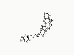 O=c1[nH]c2ccccc2nc1-c1cc2cc(OCCCN3CCNCC3)ccc2[nH]1